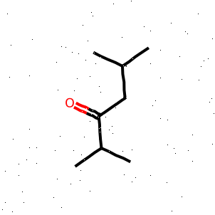 C[C](C)CC(=O)C(C)C